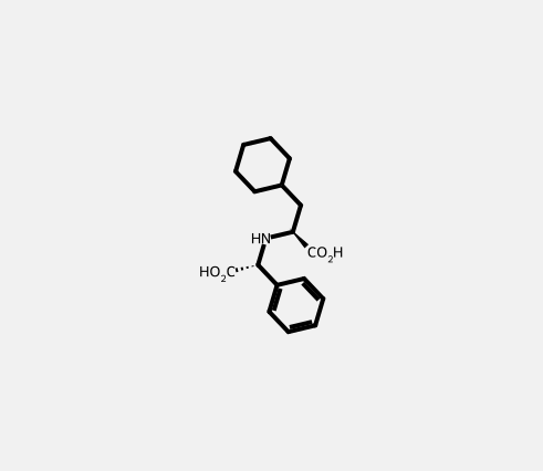 O=C(O)[C@H](CC1CCCCC1)N[C@@H](C(=O)O)c1ccccc1